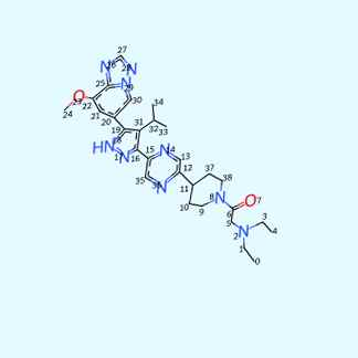 CCN(CC)CC(=O)N1CCC(c2cnc(-c3n[nH]c(-c4cc(OC)c5ncnn5c4)c3C(C)C)cn2)CC1